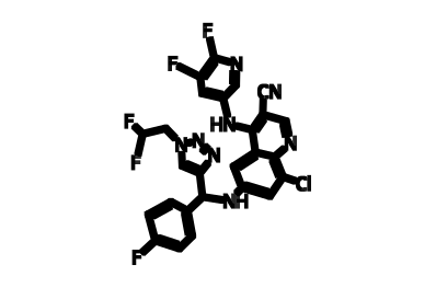 N#Cc1cnc2c(Cl)cc(NC(c3ccc(F)cc3)c3cn(CC(F)F)nn3)cc2c1Nc1cnc(F)c(F)c1